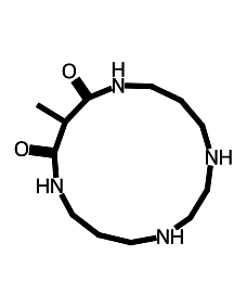 CC1C(=O)NCCCNCCNCCCNC1=O